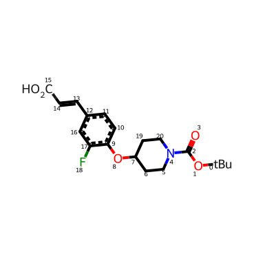 CC(C)(C)OC(=O)N1CCC(Oc2ccc(/C=C/C(=O)O)cc2F)CC1